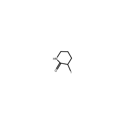 O=C1NCCCC1I